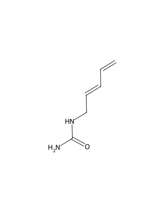 C=C/C=C/CNC(N)=O